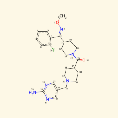 CO/N=C(\c1ccccc1F)C1CCN(C(=O)C2CCN(Cc3cnc(N)nc3)CC2)CC1